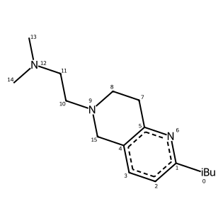 CCC(C)c1ccc2c(n1)CCN(CCN(C)C)C2